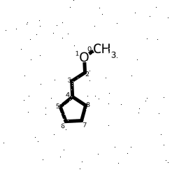 COCCC1CCCC1